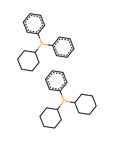 c1ccc(P(C2CCCCC2)C2CCCCC2)cc1.c1ccc(P(c2ccccc2)C2CCCCC2)cc1